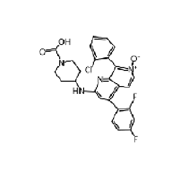 O=C(O)N1CCC(Nc2cc(-c3ccc(F)cc3F)c3cc[n+]([O-])c(-c4ccccc4Cl)c3n2)CC1